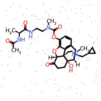 CC(=O)N[C@@H](C)C(=O)NCCN(C)C(=O)Oc1ccc2c3c1O[C@H]1C(=O)CC[C@@]4(O)[C@@H](C2)[N+](C)(CC2CC2)CC[C@]314